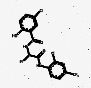 CC(C)C(NC(=O)c1cc(Cl)ccc1O)C(=O)Nc1ccc(C(F)(F)F)cc1Cl